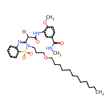 CCCCCCCCCCCCOCCCN1C(C(Br)C(=O)Nc2cc(C(=O)NC)ccc2OC)=Nc2ccccc2S1(=O)=O